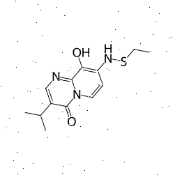 CCSNc1ccn2c(=O)c(C(C)C)cnc2c1O